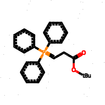 CC(C)(C)OC(=O)CC=P(c1ccccc1)(c1ccccc1)c1ccccc1